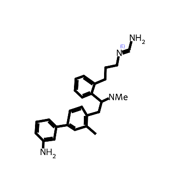 CNC(Cc1ccc(-c2cccc(N)c2)cc1C)c1ccccc1CCC/N=C/N